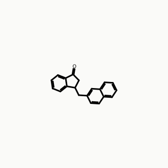 O=C1CC(Cc2ccc3ccccc3c2)c2ccccc21